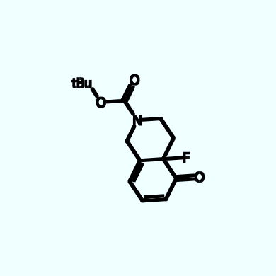 CC(C)(C)OC(=O)N1CCC2(F)C(=O)C=CC=C2C1